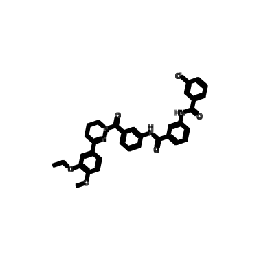 CCOc1cc(C2=NN(C(=O)c3cccc(NC(=O)c4cccc(NC(=O)c5cccc(Cl)c5)c4)c3)CCC2)ccc1OC